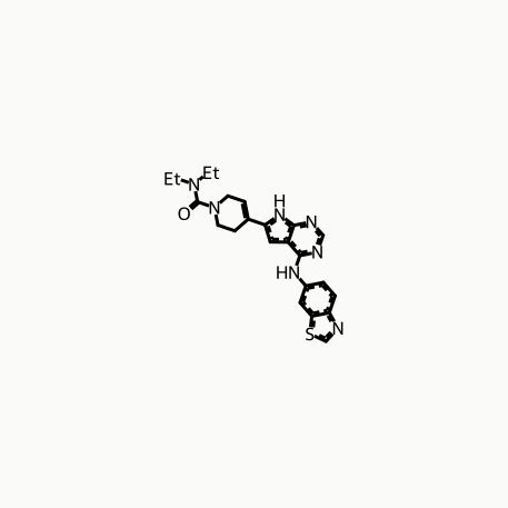 CCN(CC)C(=O)N1CC=C(c2cc3c(Nc4ccc5ncsc5c4)ncnc3[nH]2)CC1